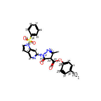 CC1=NN(c2cc3c(ccn3S(=O)(=O)c3ccccc3)cn2)C(=O)C1C(=O)Oc1ccc([N+](=O)[O-])cc1